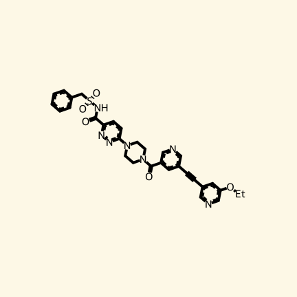 CCOc1cncc(C#Cc2cncc(C(=O)N3CCN(c4ccc(C(=O)NS(=O)(=O)Cc5ccccc5)nn4)CC3)c2)c1